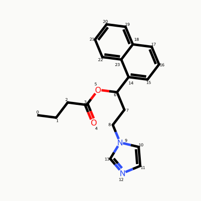 CCCC(=O)OC(CCn1ccnc1)c1cccc2ccccc12